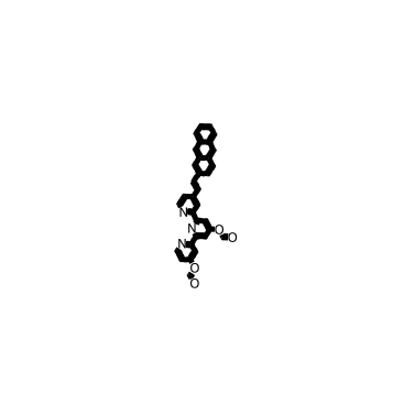 O=COc1ccnc(-c2cc(OC=O)cc(-c3cc(/C=C/c4ccc5cc6ccccc6cc5c4)ccn3)n2)c1